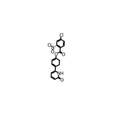 O=C(OC1=CC=C(c2cccc(=O)[nH]2)CC1)c1ccc(Cl)cc1[N+](=O)[O-]